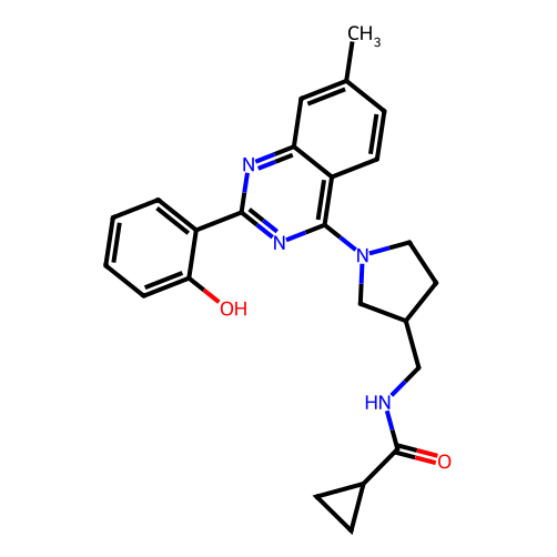 Cc1ccc2c(N3CCC(CNC(=O)C4CC4)C3)nc(-c3ccccc3O)nc2c1